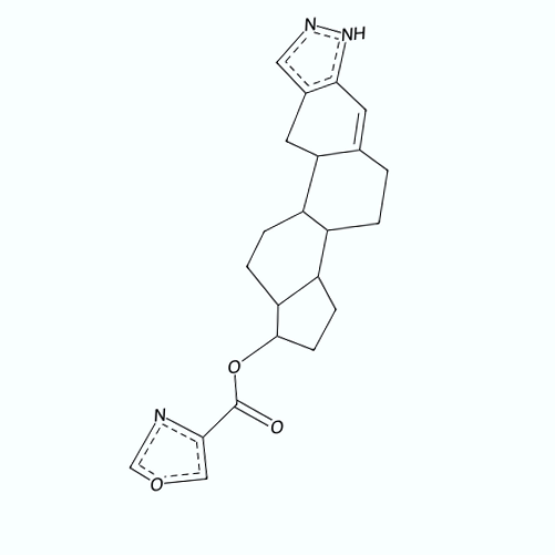 O=C(OC1CCC2C1CCC1C3Cc4cn[nH]c4C=C3CCC12)c1cocn1